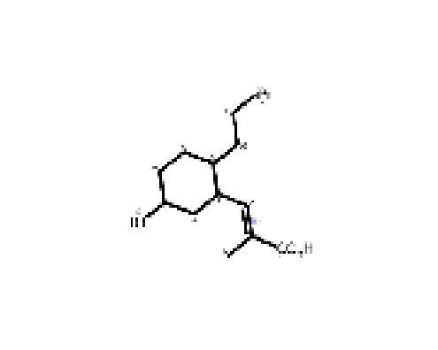 C/C(=C\C1CC(O)CCC1CCC(C)C)C(=O)O